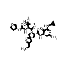 CCC[C@H](NC(=O)[C@@H]1C[C@]2(CC(CC)=NO2)CN1C(=O)[C@@H](NC(=O)O[C@@H]1CCOC1)C(C)(C)C)C(=O)C(=O)NC1CC1